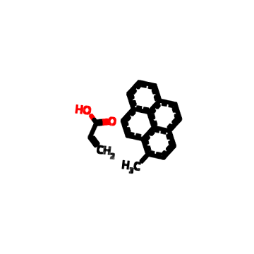 C=CC(=O)O.Cc1ccc2ccc3cccc4ccc1c2c34